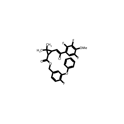 COc1c(F)cc(C(Cl)=CC2C(C(=O)OCc3ccc(F)c(Oc4ccccc4)c3)C2(C)C)c(F)c1F